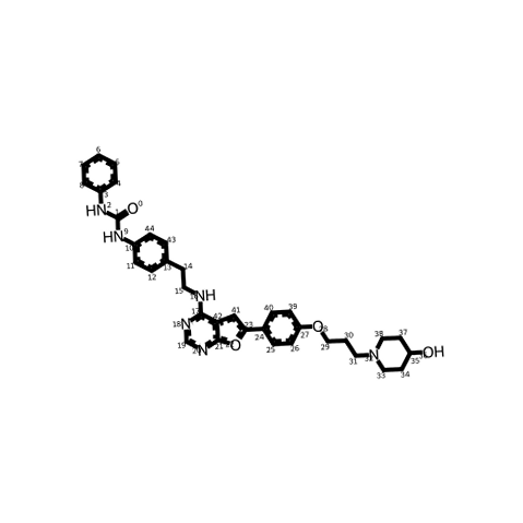 O=C(Nc1ccccc1)Nc1ccc(CCNc2ncnc3oc(-c4ccc(OCCCN5CCC(O)CC5)cc4)cc23)cc1